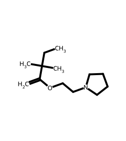 C=C(OCCN1CCCC1)C(C)(C)CC